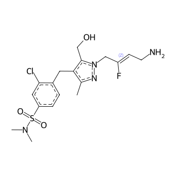 Cc1nn(C/C(F)=C/CN)c(CO)c1Cc1ccc(S(=O)(=O)N(C)C)cc1Cl